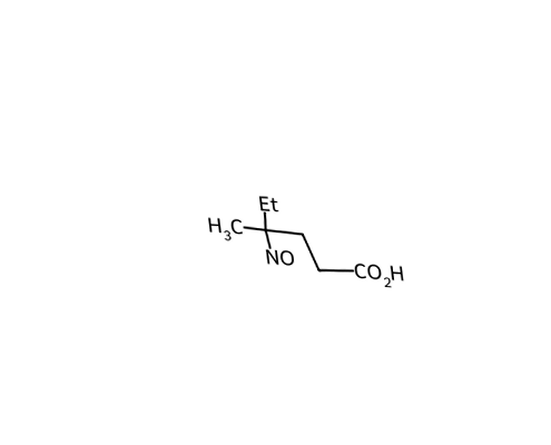 CCC(C)(CCC(=O)O)N=O